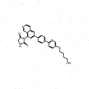 O=C1CNC(=S)N1c1cc(-c2ccc(-c3ccc(OCCCCO)cn3)cc2)nc2ccncc12